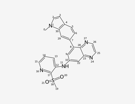 Cn1ccc2ccc(-c3cc(Nc4cccnc4S(C)(=O)=O)cc4nccnc34)cc21